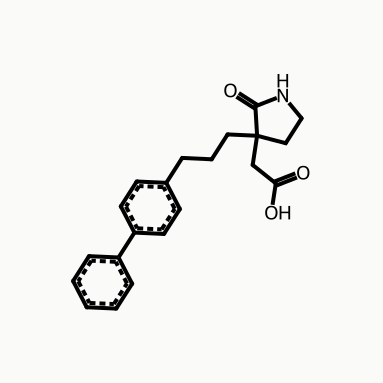 O=C(O)CC1(CCCc2ccc(-c3ccccc3)cc2)CCNC1=O